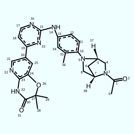 CC(=O)N1C[C@@H]2C[C@H]1CN2c1ccc(Nc2nccc(-c3cnc4c(c3)OC(C)(C)C(=O)N4)n2)cc1C